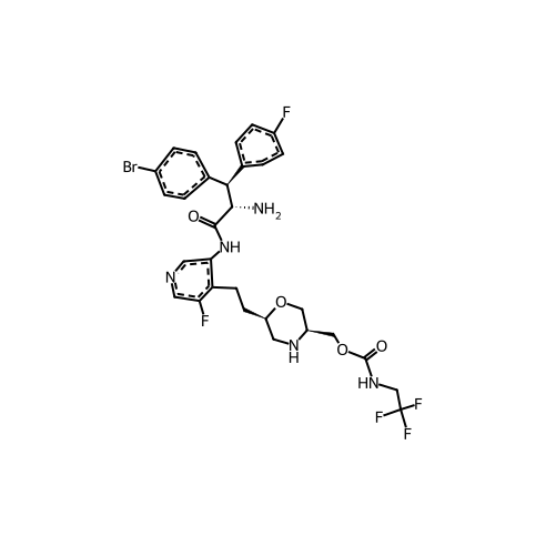 N[C@H](C(=O)Nc1cncc(F)c1CC[C@@H]1CN[C@H](COC(=O)NCC(F)(F)F)CO1)[C@H](c1ccc(F)cc1)c1ccc(Br)cc1